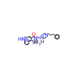 O=C(NCCN1CCN(CCCc2ccccc2)CC1)C1=CC2CNC3=CC=CC(=C1S(=O)(=O)O)N32